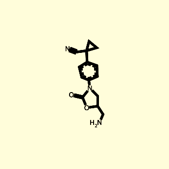 N#CC1(c2ccc(N3CC(CN)OC3=O)cc2)CC1